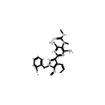 C=Nc1c(/C=C\C)c(-c2nc(N)c(N(C)C(=O)OC)c(N)n2)nn1Cc1ccccc1F